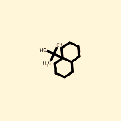 CC(C)(O)C12CCCCC1CCCC2